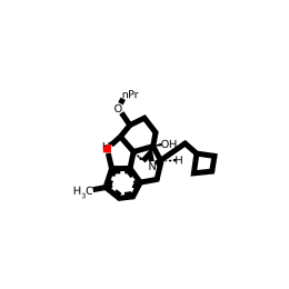 CCCOC1CC[C@@]2(O)[C@H]3Cc4ccc(C)c5c4[C@@]2(CCN3CC2CCC2)[C@H]1O5